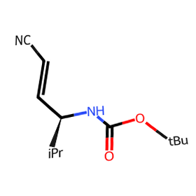 CC(C)[C@@H](/C=C/C#N)NC(=O)OC(C)(C)C